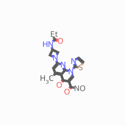 CCC(=O)NC1CN(c2cc(C)c3c(=O)c(C(=O)N=O)cn(-c4nccs4)c3n2)C1